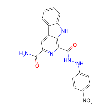 NC(=O)c1cc2c([nH]c3ccccc32)c(C(=O)NNc2ccc([N+](=O)[O-])cc2)n1